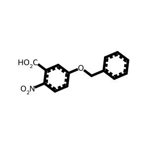 O=C(O)c1cc(OCc2ccccc2)ccc1[N+](=O)[O-]